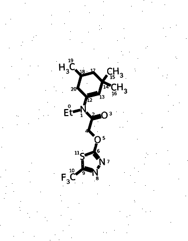 CCN(C(=O)COc1nnc(C(F)(F)F)s1)C1=CC(C)(C)CC(C)C1